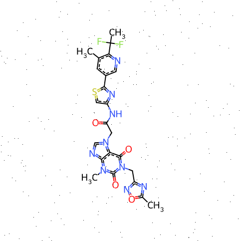 Cc1nc(Cn2c(=O)c3c(ncn3CC(=O)Nc3csc(-c4cnc(C(C)(F)F)c(C)c4)n3)n(C)c2=O)no1